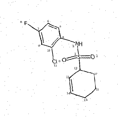 O=S(=O)(Nc1ccc(F)cc1Cl)C1C=CCCC1